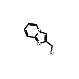 BrCc1cn2ccccc2n1